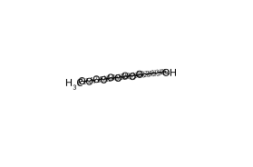 COCCOCCOCCOCCOCCOCCOCCOCCOCCCCCCCCCCO